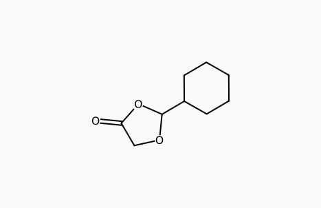 O=C1COC(C2CCCCC2)O1